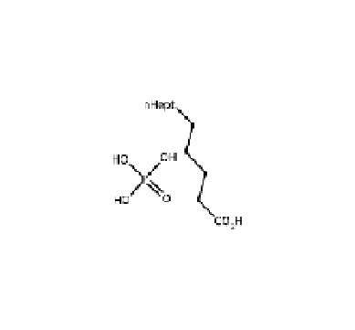 CCCCCCCCCCCC(=O)O.O=P(O)(O)O